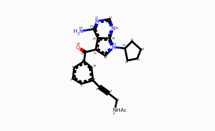 CC(=O)NCC#Cc1cccc(C(=O)c2cn(C3CCCC3)c3ncnc(N)c23)c1